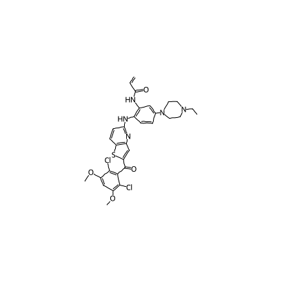 C=CC(=O)Nc1cc(N2CCN(CC)CC2)ccc1Nc1ccc2sc(C(=O)c3c(Cl)c(OC)cc(OC)c3Cl)cc2n1